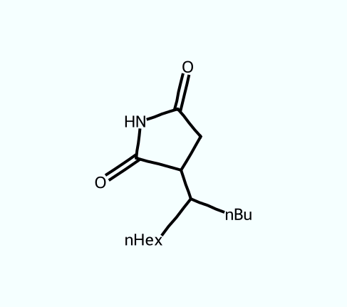 CCCCCCC(CCCC)C1CC(=O)NC1=O